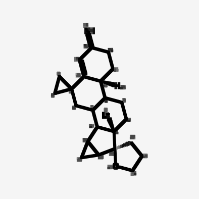 CC[C@]12CCC3C(CC4(CC4)C4=CC(=N)CC[C@@H]43)C1C1CC1[C@@]21CCCO1